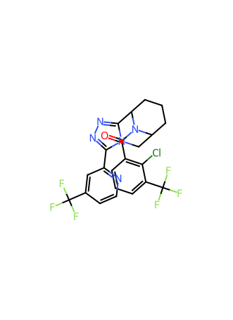 O=C(c1cccc(C(F)(F)F)c1Cl)N1C2CCCC1c1nnc(-c3cc(C(F)(F)F)ccn3)n1C2